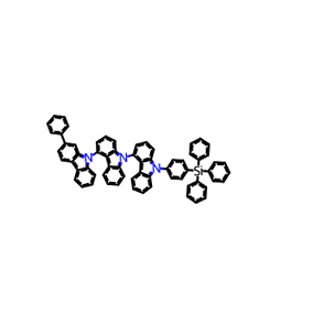 c1ccc(-c2ccc3c4ccccc4n(-c4cccc5c4c4ccccc4n5-c4cccc5c4c4ccccc4n5-c4ccc([Si](c5ccccc5)(c5ccccc5)c5ccccc5)cc4)c3c2)cc1